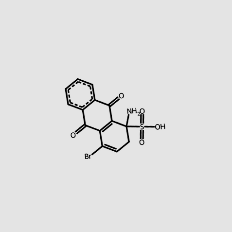 NC1(S(=O)(=O)O)CC=C(Br)C2=C1C(=O)c1ccccc1C2=O